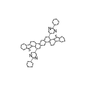 c1ccc(-c2ncc(-c3cc4cc5c(cc(-c6cnc(-c7ccccc7)nc6)c6c5ccc5c7ccccc7sc56)cc4c4ccc5c6ccccc6sc5c34)cn2)cc1